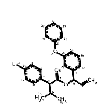 C=CC(OC(=O)C(c1ccc(Cl)cc1)C(C)C)c1cccc(Oc2ccccc2)c1